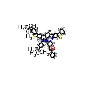 CC(C)(C)c1ccc(Nc2cc3sc4cc(C(C)(C)C)ccc4c3cc2-c2ccc3c4cc5c(cc4n4c3c2Bc2cc3cc(-c6ccccc6)oc3cc2-4)sc2ccccc25)cc1